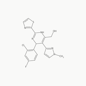 Cn1ccc(C2=C(CO)NC(c3nccs3)=NC2c2ccc(F)cc2Cl)n1